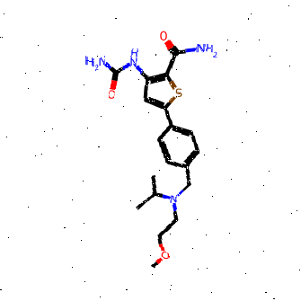 COCCN(Cc1ccc(-c2cc(NC(N)=O)c(C(N)=O)s2)cc1)C(C)C